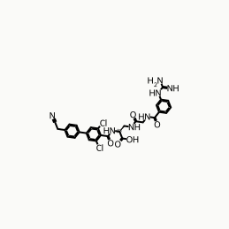 N#CCc1ccc(-c2cc(Cl)c(C(=O)N[C@@H](CNC(=O)CNC(=O)c3cccc(NC(=N)N)c3)C(=O)O)c(Cl)c2)cc1